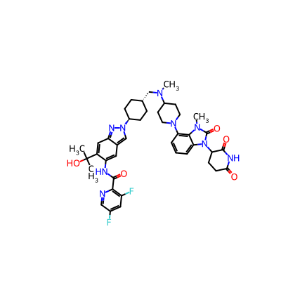 CN(C[C@H]1CC[C@H](n2cc3cc(NC(=O)c4ncc(F)cc4F)c(C(C)(C)O)cc3n2)CC1)C1CCN(c2cccc3c2n(C)c(=O)n3C2CCC(=O)NC2=O)CC1